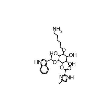 Cc1c[nH]c(C(=O)OC2C(O)C(O)C(OCCCCCN)C(O)C2OC(C)c2c[nH]c3ccccc23)n1